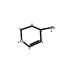 CC(C)C1C=COCC1